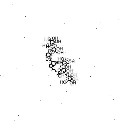 CCC1CC[C@H](O[C@@H]2O[C@H](CO)[C@@H](O)[C@H](O[C@@H]3O[C@H](CO)[C@@H](O)[C@H](O)[C@H]3O)[C@H]2O)C(C)(C)/C1=C/CC1C[C@H](O)C[C@]2(C)C([C@H](C)CC[C@@H](O[C@@H]3O[C@H](CO[C@@H]4O[C@H](CO)[C@@H](O)[C@H](O)[C@H]4O)[C@@H](O)[C@H](O)[C@H]3O[C@@H]3OC(CO)[C@@H](O)[C@H](O)[C@H]3O)C(C)(C)O)CC[C@@]12C